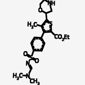 CCOC(=O)c1sc(C2CNCCO2)c(C)c1-c1ccc(S(=O)(=O)N=CN(C)C)cc1